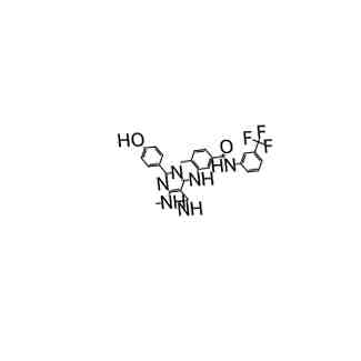 CNc1nc(-c2ccc(O)cc2)nc(Nc2cc(C(=O)Nc3cccc(C(F)(F)F)c3)ccc2C)c1C=N